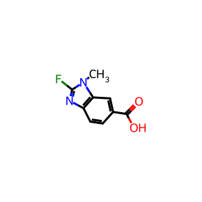 Cn1c(F)nc2ccc(C(=O)O)cc21